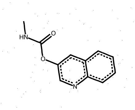 CNC(=O)Oc1cnc2ccccc2c1